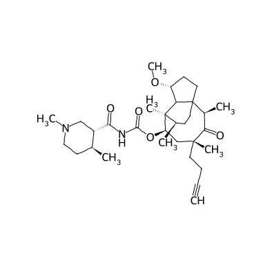 C#CCC[C@]1(C)C[C@@H](OC(=O)NC(=O)[C@H]2CN(C)CC[C@@H]2C)[C@@]2(C)C3[C@H](OC)CCC3(CC[C@H]2C)[C@@H](C)C1=O